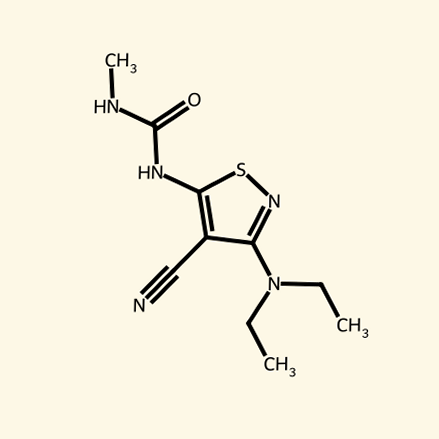 CCN(CC)c1nsc(NC(=O)NC)c1C#N